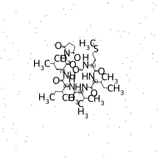 CCC(C)[C@H](NC(=O)[C@H](CCSC)NC=O)C(=O)N[C@H](C(=O)N[C@H](C(=O)N[C@@H](CC(C)C)C(=O)ON1C(=O)CCC1=O)C(C)CC)C(C)C